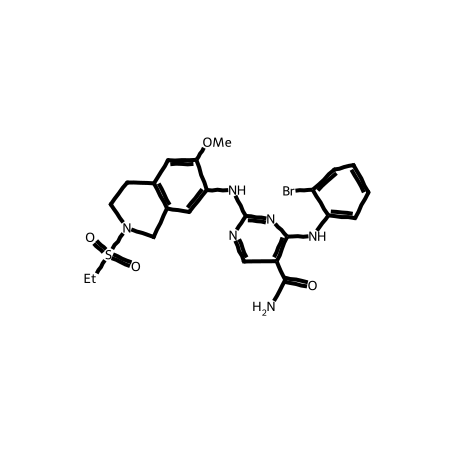 CCS(=O)(=O)N1CCc2cc(OC)c(Nc3ncc(C(N)=O)c(Nc4ccccc4Br)n3)cc2C1